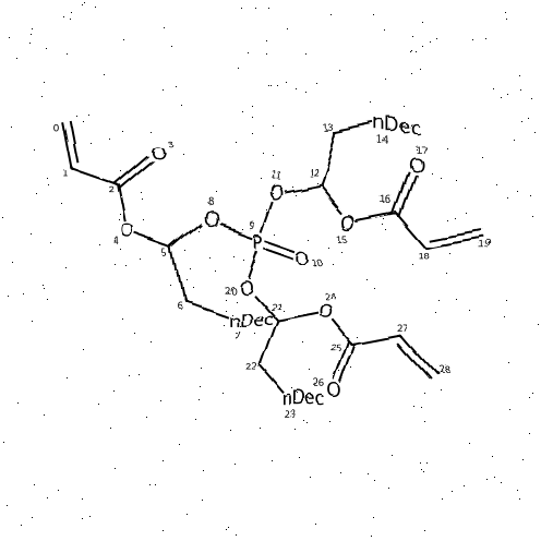 C=CC(=O)OC(CCCCCCCCCCC)OP(=O)(OC(CCCCCCCCCCC)OC(=O)C=C)OC(CCCCCCCCCCC)OC(=O)C=C